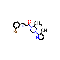 C[C@@H]1CN(c2ncccc2C#N)CCN1C(=O)/C=C/c1cccc(Br)c1